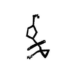 CC1(S(=O)(=O)N2CCC(N)C2)CC1